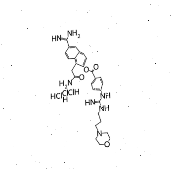 Cl.Cl.Cl.N=C(NCCCN1CCOCC1)Nc1ccc(C(=O)Oc2ccc3cc(C(=N)N)ccc3c2CC(N)=O)cc1